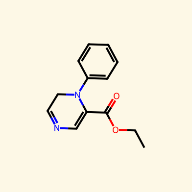 CCOC(=O)C1=CN=CCN1c1ccccc1